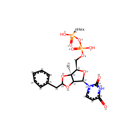 CCCCCCP(=O)(O)OP(=O)(O)OC[C@H]1O[C@@H](n2ccc(=O)[nH]c2=O)C2OC(Cc3ccccc3)O[C@H]21